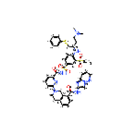 CN(C)CC[C@H](CSc1ccccc1)Nc1ccc(S(=O)(=O)NC(=O)c2cccc(N3CCc4cccc(C(=O)Nc5cn6ncccc6n5)c4C3)n2)cc1S(=O)(=O)C(F)(F)F